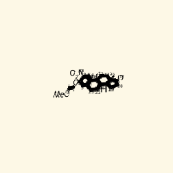 COCCOc1cc2c(cc1[N+](=O)[O-])[C@H]1CC[C@]3(C)C(=O)CC[C@H]3[C@@H]1CC2